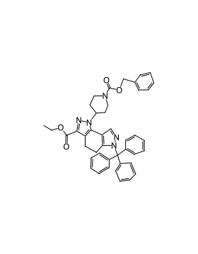 CCOC(=O)c1nn(C2CCN(C(=O)OCc3ccccc3)CC2)c2c1CCc1c-2cnn1C(c1ccccc1)(c1ccccc1)c1ccccc1